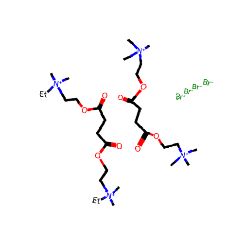 CC[N+](C)(C)CCOC(=O)CCC(=O)OCC[N+](C)(C)CC.C[N+](C)(C)CCOC(=O)CCC(=O)OCC[N+](C)(C)C.[Br-].[Br-].[Br-].[Br-]